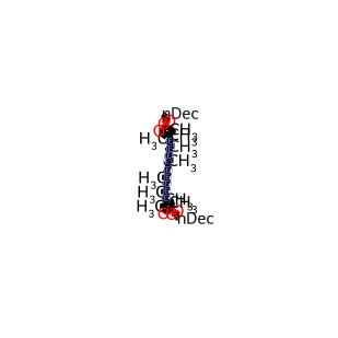 CCCCCCCCCCCC(=O)OC1CC(C)(C)C(/C=C/C(C)=C/C=C/C(C)=C/C=C/C=C(C)/C=C/C=C(C)/C=C/C2=C(C)C(=O)C(OC(=O)CCCCCCCCCCC)CC2(C)C)=C(C)C1=O